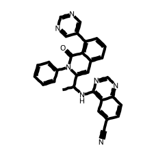 CC(Nc1ncnc2ccc(C#N)cc12)c1cc2cccc(-c3cncnc3)c2c(=O)n1-c1ccccc1